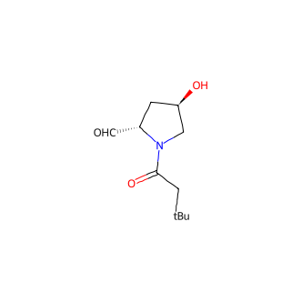 CC(C)(C)CC(=O)N1C[C@H](O)C[C@H]1C=O